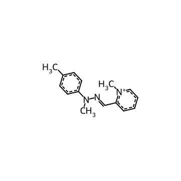 Cc1ccc(N(C)/N=C/c2cccc[n+]2C)cc1